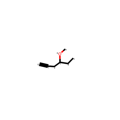 C#CCC(C[CH2])OC